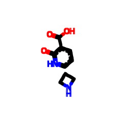 C1CNC1.O=C(O)c1ccc[nH]c1=O